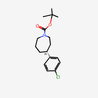 CC(C)(C)OC(=O)N1CCC[C@@H](c2ccc(Cl)cc2)CC1